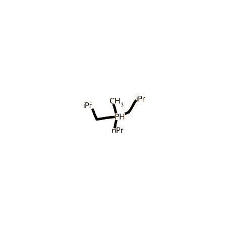 CCC[PH](C)(CC(C)C)CC(C)C